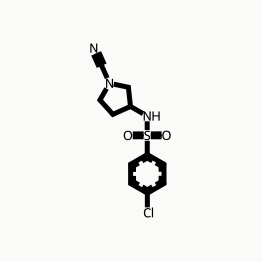 N#CN1CCC(NS(=O)(=O)c2ccc(Cl)cc2)C1